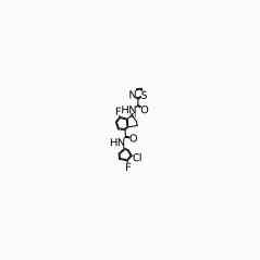 O=C(N[C@H]1CCc2c(C(=O)Nc3ccc(F)c(Cl)c3)ccc(F)c21)c1nccs1